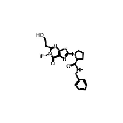 CC(C)n1c(CCO)nc2sc(N3CCCC3C(=O)NCc3ccccc3)nc2c1=O